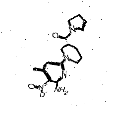 Cc1cc(N2CCC[C@@H](C(=O)N3CCCC3)C2)nc(N)c1[N+](=O)[O-]